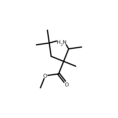 COC(=O)C(C)(CC(C)(C)C)C(C)N